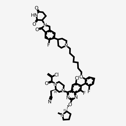 C=C(Cl)C(=O)N1CCN(c2nc(OC[C@@H]3CCCN3C)nc3c(F)c(-c4c(F)cccc4OCCCCCCCN4CCC(c5cc6c(cc5F)C(=O)N(C5CCC(=O)NC5=O)C6)CC4)c(Cl)cc23)C[C@H]1CC#N